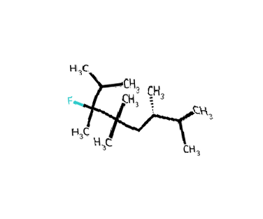 CC(C)[C@@H](C)CC(C)(C)C(C)(F)C(C)C